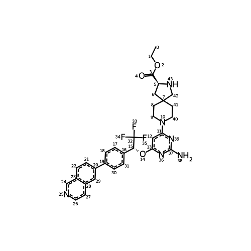 CCOC(=O)[C@@H]1CC2(CCN(c3cc(O[C@H](c4ccc(-c5ccc6cnccc6c5)cc4)C(F)(F)F)nc(N)n3)CC2)CN1